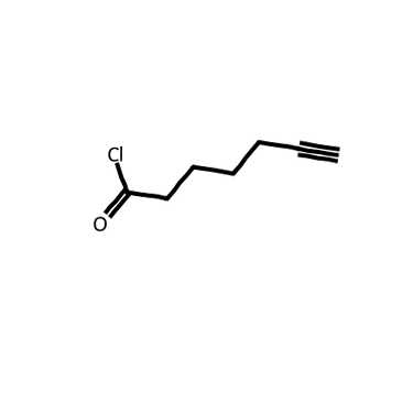 C#CCCCCC(=O)Cl